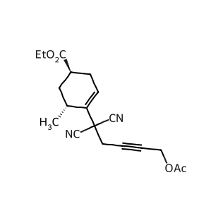 CCOC(=O)[C@H]1CC=C(C(C#N)(C#N)CC#CCOC(C)=O)[C@H](C)C1